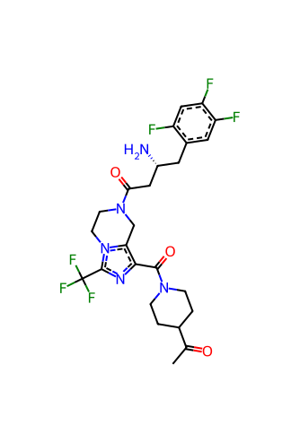 CC(=O)C1CCN(C(=O)c2nc(C(F)(F)F)n3c2CN(C(=O)C[C@H](N)Cc2cc(F)c(F)cc2F)CC3)CC1